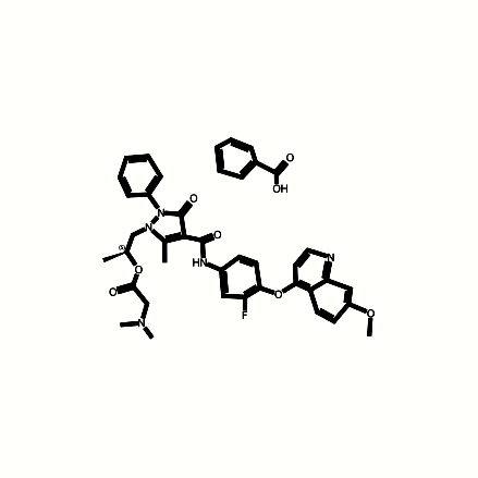 COc1ccc2c(Oc3ccc(NC(=O)c4c(C)n(C[C@H](C)OC(=O)CN(C)C)n(-c5ccccc5)c4=O)cc3F)ccnc2c1.O=C(O)c1ccccc1